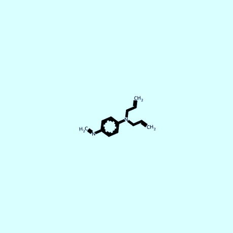 C=CCN(CC=C)c1ccc(N=C)cc1